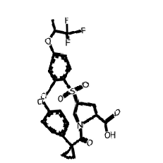 CC(Oc1ccc(S(=O)(=O)C2CC(C(=O)O)N(C(=O)C3(c4ccc(Cl)cc4)CC3)C2)c(Cl)c1)C(F)(F)F